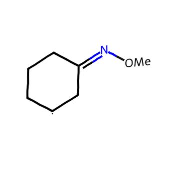 CO/N=C1\C[CH]CCC1